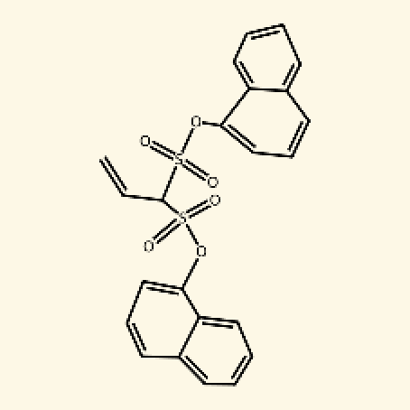 C=CC(S(=O)(=O)Oc1cccc2ccccc12)S(=O)(=O)Oc1cccc2ccccc12